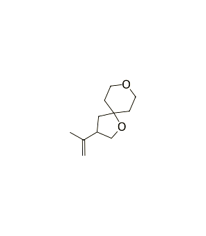 C=C(C)C1COC2(CCOCC2)C1